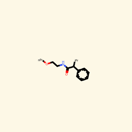 CCCOCCNC(=O)C(c1ccccc1)C(C)C